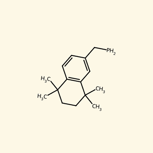 CC1(C)CCC(C)(C)c2cc(CP)ccc21